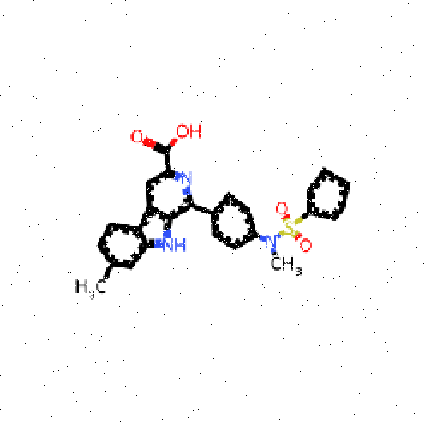 Cc1ccc2c(c1)[nH]c1c(-c3ccc(N(C)S(=O)(=O)c4ccccc4)cc3)nc(C(=O)O)cc12